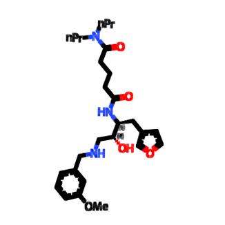 CCCN(CCC)C(=O)CCCC(=O)N[C@@H](Cc1ccoc1)[C@H](O)CNCc1cccc(OC)c1